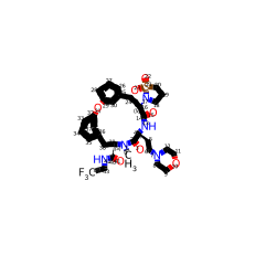 CN1C(=O)[C@H](CCN2CCOCC2)NC(=O)[C@@H](N2CCCS2(=O)=O)Cc2cccc(c2)Oc2cccc(c2)C[C@H]1C(=O)NCC(F)(F)F